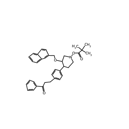 CC(C)(C)C(=O)ON1CCC(c2ccc(CCC(=O)c3ccccc3)cc2)C(OCc2ccc3ccccc3c2)C1